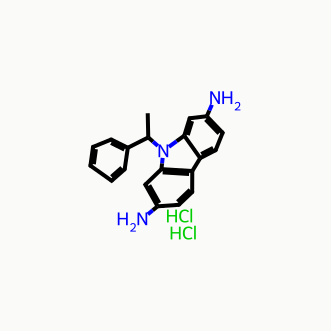 CC(c1ccccc1)n1c2cc(N)ccc2c2ccc(N)cc21.Cl.Cl